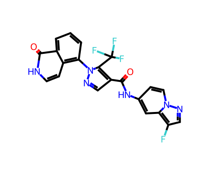 O=C(Nc1ccn2ncc(F)c2c1)c1cnn(-c2cccc3c(=O)[nH]ccc23)c1C(F)(F)F